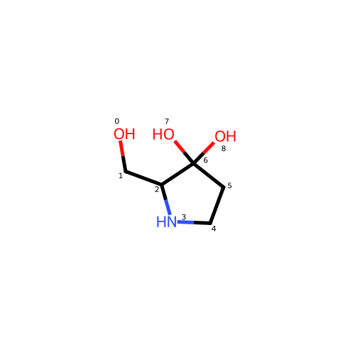 OCC1NCCC1(O)O